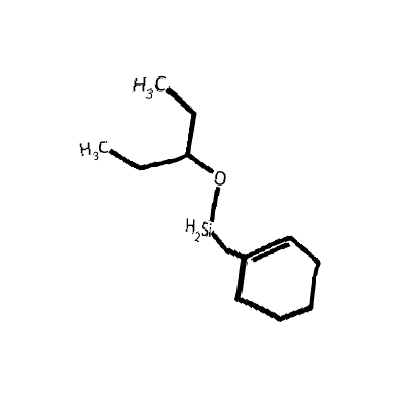 CCC(CC)O[SiH2]C1=CCCCC1